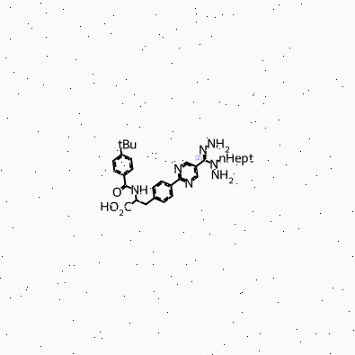 CCCCCCCN(N)/C(=N\N)c1cnc(-c2ccc(CC(NC(=O)c3ccc(C(C)(C)C)cc3)C(=O)O)cc2)nc1